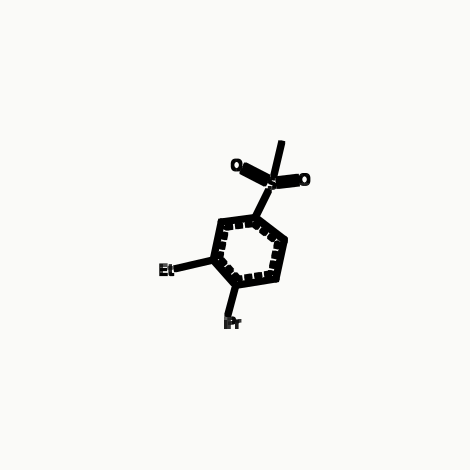 CCc1cc(S(C)(=O)=O)ccc1C(C)C